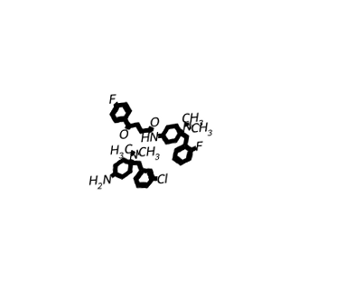 CN(C)C1(Cc2cccc(Cl)c2)CCC(N)CC1.CN(C)C1(Cc2ccccc2F)CCC(NC(=O)CCC(=O)c2ccc(F)cc2)CC1